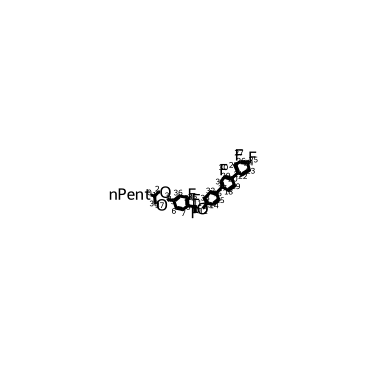 CCCCCC1COC(c2ccc(C(F)(F)Oc3ccc(-c4ccc(-c5ccc(F)c(F)c5)c(F)c4)cc3)c(F)c2)OC1